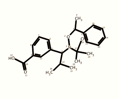 CC(ON(C(c1cccc(C(=O)O)c1)C(C)C)C(C)(C)C)c1ccccc1